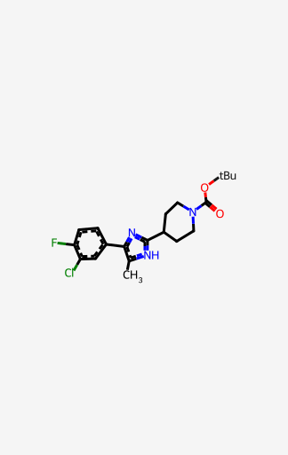 Cc1[nH]c(C2CCN(C(=O)OC(C)(C)C)CC2)nc1-c1ccc(F)c(Cl)c1